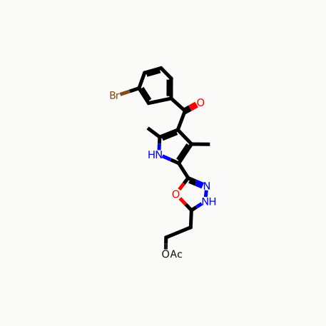 CC(=O)OCCC1NN=C(c2[nH]c(C)c(C(=O)c3cccc(Br)c3)c2C)O1